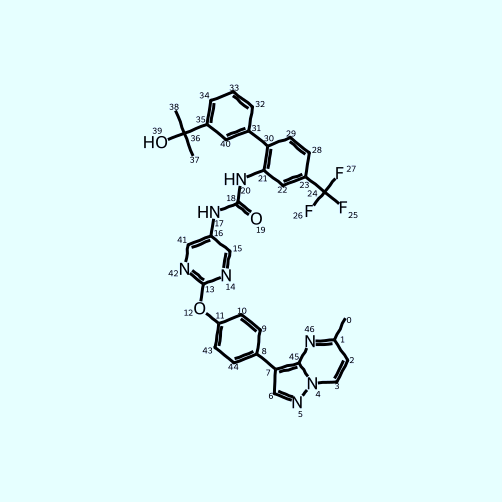 Cc1ccn2ncc(-c3ccc(Oc4ncc(NC(=O)Nc5cc(C(F)(F)F)ccc5-c5cccc(C(C)(C)O)c5)cn4)cc3)c2n1